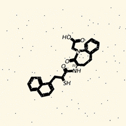 O=C(O)CN1C(=O)[C@@H](NC(=O)C(S)Cc2cccc3ccccc23)CCc2ccccc21